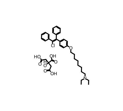 CCN(CC)CCCCCCCCOc1ccc(C(=C(Cl)c2ccccc2)c2ccccc2)cc1.O=C(O)CC(O)(CC(=O)O)C(=O)O